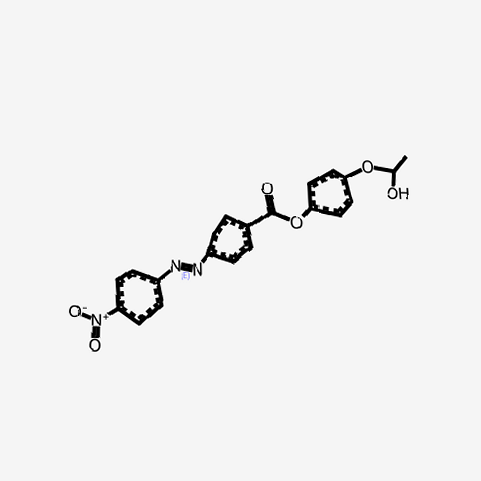 CC(O)Oc1ccc(OC(=O)c2ccc(/N=N/c3ccc([N+](=O)[O-])cc3)cc2)cc1